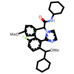 COc1ccc(C(C(=O)NC2CCCCC2)n2ccnc2-c2c(C(OC)C3CCCCC3)ccc(F)c2Cl)cc1